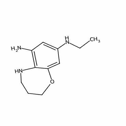 CCNc1cc(N)c2c(c1)OCCCN2